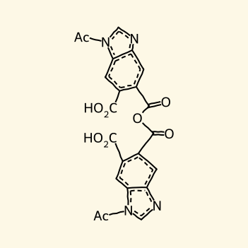 CC(=O)n1cnc2cc(C(=O)OC(=O)c3cc4ncn(C(C)=O)c4cc3C(=O)O)c(C(=O)O)cc21